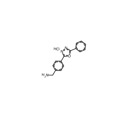 Cl.NCc1ccc(-c2nnc(-c3ccccc3)o2)cc1